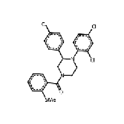 CSc1ccccc1C(=O)N1CCN(c2ccc(Cl)cc2Cl)C(c2ccc(Cl)cc2)C1